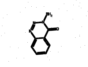 Bn1nnc2ccccc2c1=O